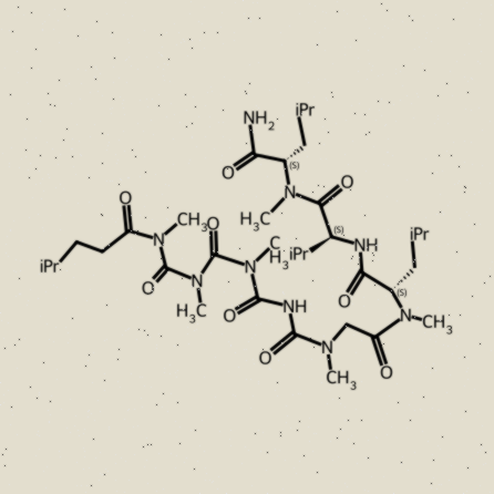 CC(C)CCC(=O)N(C)C(=O)N(C)C(=O)N(C)C(=O)NC(=O)N(C)CC(=O)N(C)[C@@H](CC(C)C)C(=O)N[C@H](C(=O)N(C)[C@@H](CC(C)C)C(N)=O)C(C)C